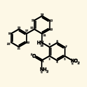 NC(=O)c1cc([N+](=O)[O-])ccc1Nc1ccccc1-c1ccccc1